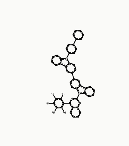 [2H]c1c([2H])c([2H])c(-c2nc(-n3c4ccccc4c4cc(-c5ccc6c(c5)c5ccccc5n6-c5ccc(-c6ccccc6)cc5)ccc43)nc3ccccc23)c([2H])c1[2H]